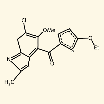 CCOc1ccc(C(=O)C2=C3[C]=C(C)N=C3CC(Cl)=C2OC)s1